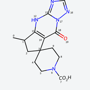 CC1CC2(CCN(C(=O)O)CC2)c2c1[nH]c1ncnn1c2=O